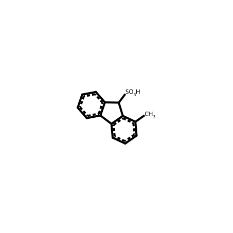 Cc1cccc2c1C(S(=O)(=O)O)c1ccccc1-2